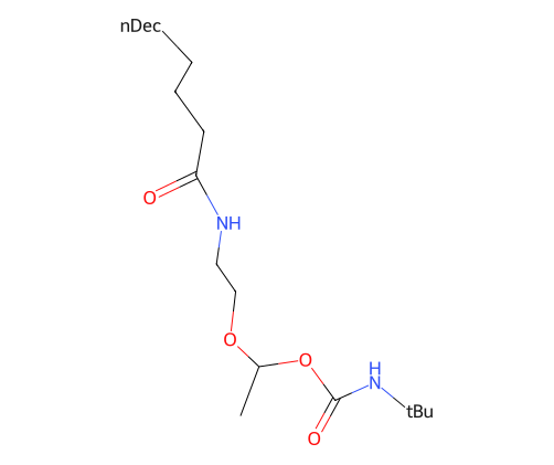 CCCCCCCCCCCCCC(=O)NCCOC(C)OC(=O)NC(C)(C)C